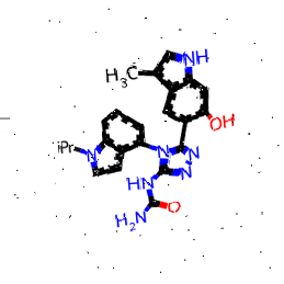 Cc1c[nH]c2cc(O)c(-c3nnc(NC(N)=O)n3-c3cccc4c3ccn4C(C)C)cc12